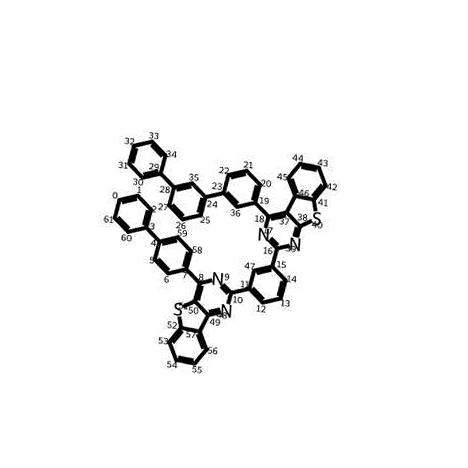 c1ccc(-c2ccc(-c3nc(-c4cccc(-c5nc(-c6cccc(-c7cccc(-c8ccccc8)c7)c6)c6c(n5)sc5ccccc56)c4)nc4c3sc3ccccc34)cc2)cc1